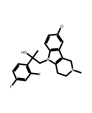 CN1CCc2c(c3cc(Cl)ccc3n2CC(C)(O)c2ccc(F)cc2F)C1